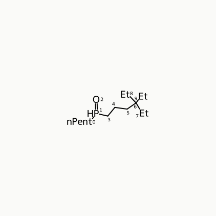 CCCCC[PH](=O)CCCC(CC)(CC)CC